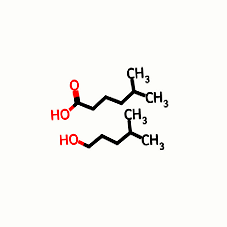 CC(C)CCCC(=O)O.CC(C)CCCO